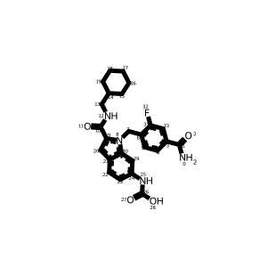 NC(=O)c1ccc(Cn2c(C(=O)NCC3CCCCC3)cc3ccc(NC(=O)O)cc32)c(F)c1